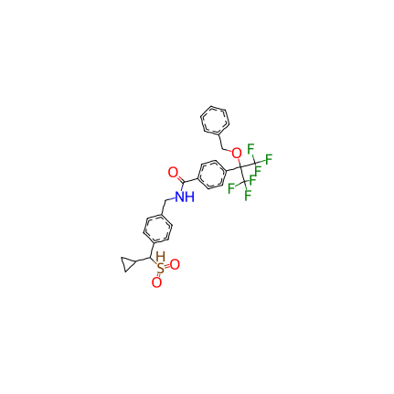 O=C(NCc1ccc(C(C2CC2)[SH](=O)=O)cc1)c1ccc(C(OCc2ccccc2)(C(F)(F)F)C(F)(F)F)cc1